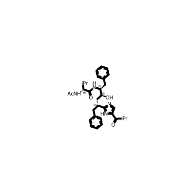 CC(=O)N[C@@H](C(=O)N[C@@H](Cc1ccccc1)[C@@H](O)C[C@@H](Cc1ccccc1)c1ncc(C(=O)C(C)C)[nH]1)C(C)C